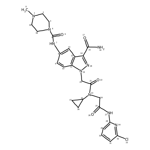 CN1CCN(C(=O)Nc2ccc3c(c2)c(C(N)=O)nn3CC(=O)N(CC(=O)Nc2cccc(Cl)n2)C2CC2)CC1